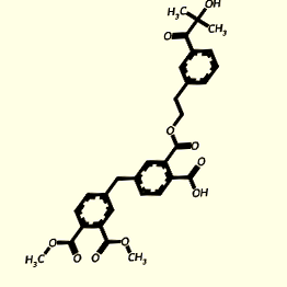 COC(=O)c1ccc(Cc2ccc(C(=O)O)c(C(=O)OCCc3cccc(C(=O)C(C)(C)O)c3)c2)cc1C(=O)OC